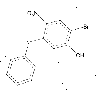 O=[N+]([O-])c1cc(Br)c(O)cc1[CH]c1ccccc1